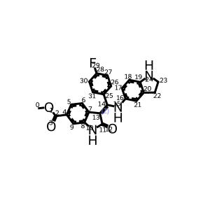 COC(=O)c1ccc2c(c1)NC(=O)/C2=C(\Nc1ccc2c(c1)CCN2)c1ccc(F)cc1